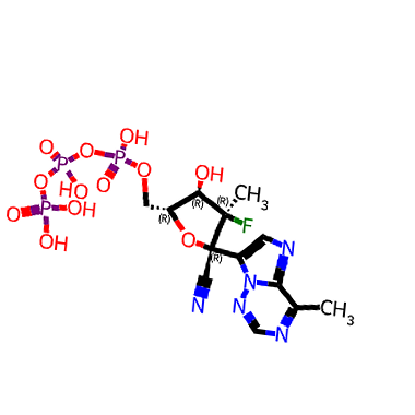 Cc1ncnn2c([C@]3(C#N)O[C@H](COP(=O)(O)OP(=O)(O)OP(=O)(O)O)[C@@H](O)[C@@]3(C)F)cnc12